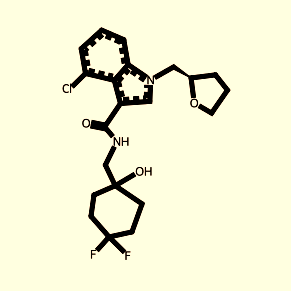 O=C(NCC1(O)CCC(F)(F)CC1)c1cn(C[C@H]2CCCO2)c2cccc(Cl)c12